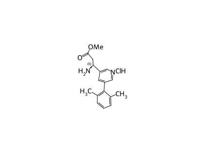 COC(=O)C[C@H](N)c1cncc(-c2c(C)cccc2C)c1.Cl